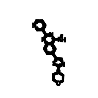 CNc1nc(-c2cccnc2)nc2ccc(-c3cnc(N4CCOCC4)s3)cc12